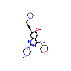 COc1cc2c(NC3CCOCC3)nc(N3CCN(C)CC3)nc2cc1C#CCN1CCCC1